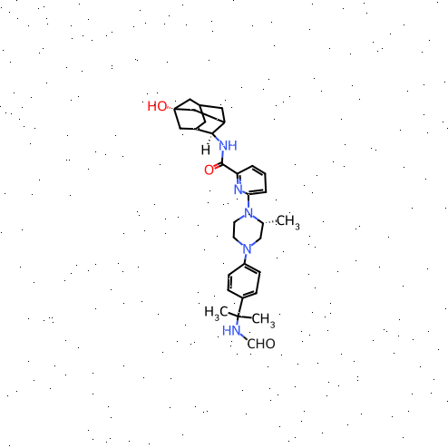 C[C@@H]1CN(c2ccc(C(C)(C)NC=O)cc2)CCN1c1cccc(C(=O)N[C@H]2C3CC4CC2C[C@](O)(C4)C3)n1